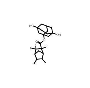 CC1C(C)C2CC1C(F)(F)C2(F)C(=O)OC12CC3CC(O)(CC(O)(C3)C1)C2